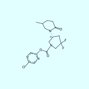 CC1CCC(=O)N([C@H]2CN(C(=O)Oc3ccc(Cl)cn3)CC(F)(F)C2)C1